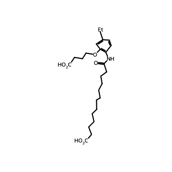 CCc1ccc(NC(=O)CCCCCCCCCCCC(=O)O)c(OCCCC(=O)O)c1